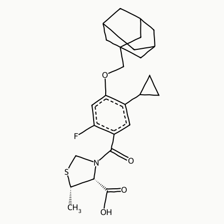 C[C@@H]1SCN(C(=O)c2cc(C3CC3)c(OCC34CC5CC(CC(C5)C3)C4)cc2F)[C@@H]1C(=O)O